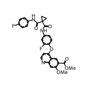 COC(=O)c1cc2c(Oc3ccc(NC(=O)C4(C(=O)Nc5ccc(F)cc5)CC4)cc3F)ccnc2cc1OC